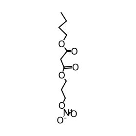 CCCCOC(=O)CC(=O)OCCCO[N+](=O)[O-]